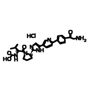 CC(C)[C@H](NC(=O)O)C(=O)N1CCC[C@H]1c1ncc(-c2ccc(-c3ccc(C(=O)CN)cc3)nc2)[nH]1.Cl